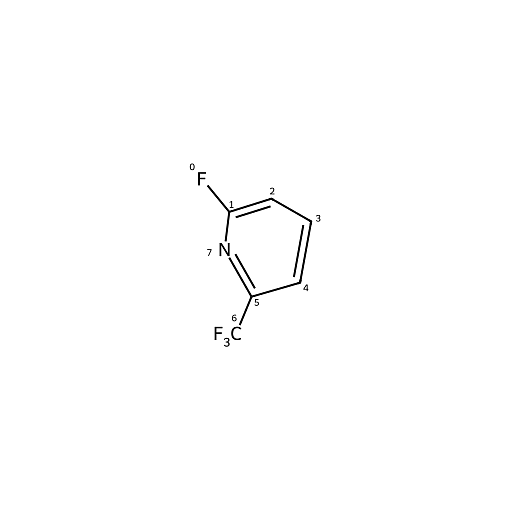 Fc1cccc(C(F)(F)F)n1